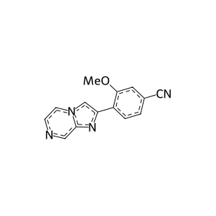 COc1cc(C#N)ccc1-c1cn2ccncc2n1